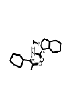 CC(=O)[C@@H](NC(=O)[C@@H]1C2CCCCC2CN1I)C1CCCCC1